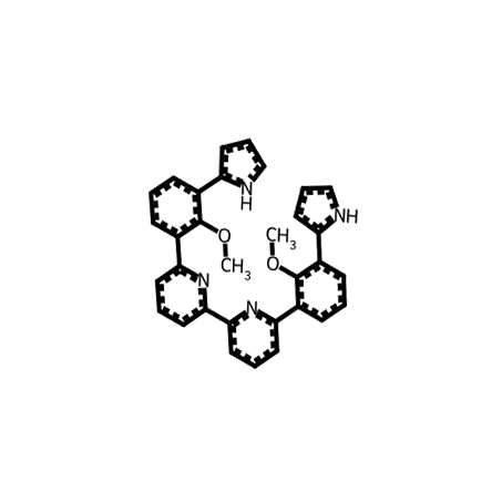 COc1c(-c2cccc(-c3cccc(-c4cccc(-c5ccc[nH]5)c4OC)n3)n2)cccc1-c1ccc[nH]1